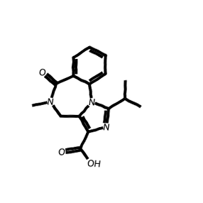 CC(C)c1nc(C(=O)O)c2n1-c1ccccc1C(=O)N(C)C2